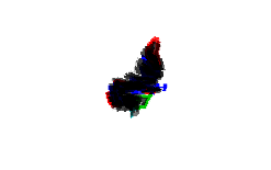 C=CC(=O)Nc1cc(Nc2cc(N3OCCC3c3ccc(Cl)c(F)c3)ncn2)c(OC)cc1N1CCC(N2CCN(C3COC3)CC2)CC1